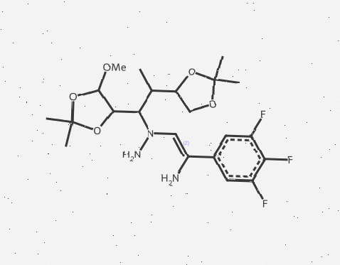 COC1OC(C)(C)OC1C(C(C)C1COC(C)(C)O1)N(N)/C=C(\N)c1cc(F)c(F)c(F)c1